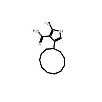 NC(=O)c1c(C2CCCCCCCCCC2)c[nH]c1N